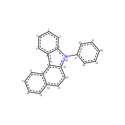 [c]1ccc2c(c1)c1c3ccccc3ccc1n2-c1ccccc1